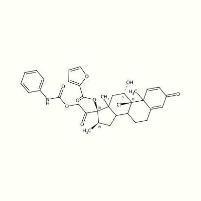 C[C@@H]1CC2C3CCC4=CC(=O)C=CC4(C)[C@@]3(Cl)[C@@H](O)CC2(C)[C@@]1(OC(=O)c1ccco1)C(=O)COC(=O)Nc1ccccc1